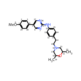 COc1ccc(-c2cnc(Nc3ccc(CCN4CC(C)OC(C)C4)cc3)nc2)cc1